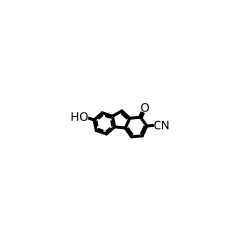 N#CC1=CC=C2C(=Cc3cc(O)ccc32)C1=O